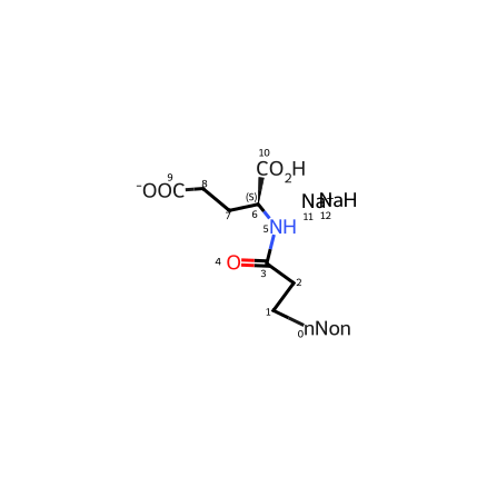 CCCCCCCCCCCC(=O)N[C@@H](CCC(=O)[O-])C(=O)O.[Na+].[NaH]